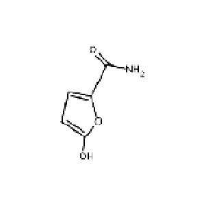 NC(=O)c1ccc(O)o1